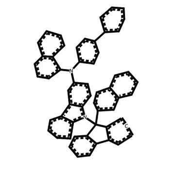 c1ccc(-c2ccc(N(c3ccc4c(c3)c3ccccc3n4C3(c4ccc5ccccc5c4)c4ccccc4-c4ccccc43)c3cccc4ccccc34)cc2)cc1